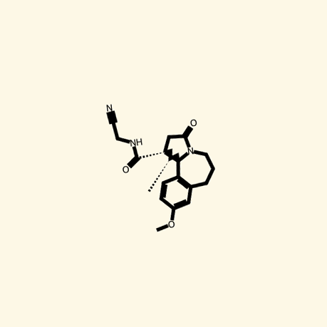 COc1ccc2c(c1)CCCN1C(=O)CC3[C@H](C(=O)NCC#N)[C@@H](C)CC231